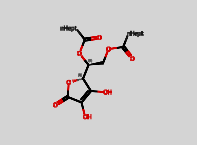 CCCCCCCC(=O)OC[C@H](OC(=O)CCCCCCC)[C@H]1OC(=O)C(O)=C1O